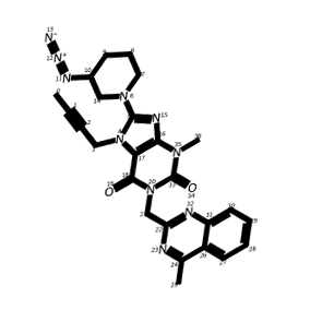 CC#CCn1c(N2CCCC(N=[N+]=[N-])C2)nc2c1c(=O)n(Cc1nc(C)c3ccccc3n1)c(=O)n2C